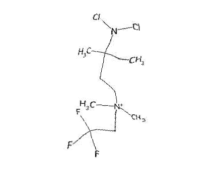 CC(C)(CC[N+](C)(C)CC(F)(F)F)N(Cl)Cl